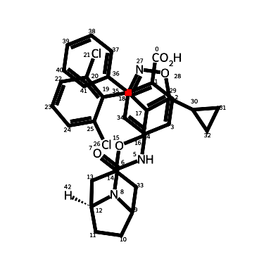 O=C(O)c1ccc(NC(=O)N2C3CC[C@H]2CC(OCc2c(-c4c(Cl)cccc4Cl)noc2C2CC2)C3)cc1-c1ccccc1